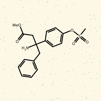 COC(=O)CC(N)(Cc1ccccc1)c1ccc(OS(C)(=O)=O)cc1